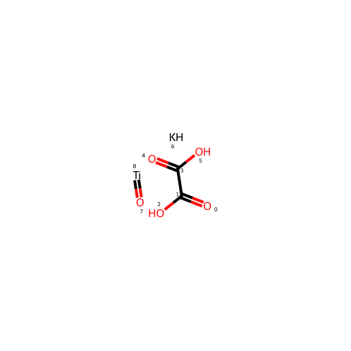 O=C(O)C(=O)O.[KH].[O]=[Ti]